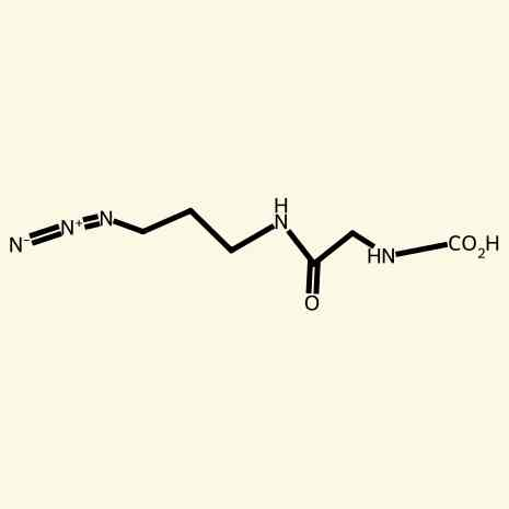 [N-]=[N+]=NCCCNC(=O)CNC(=O)O